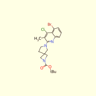 Cc1c(N2CCC3(CN(C(=O)OC(C)(C)C)C3)C2)nc2cccc(Br)c2c1Cl